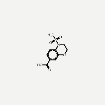 CS(=O)(=O)N1CCOc2cc(C(=O)O)ccc21